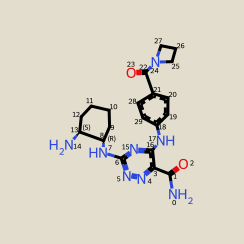 NC(=O)c1nnc(N[C@@H]2CCCC[C@@H]2N)nc1Nc1ccc(C(=O)N2CCC2)cc1